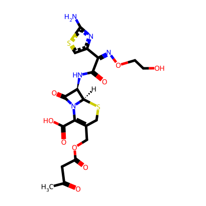 CC(=O)CC(=O)OCC1=C(C(=O)O)N2C(=O)[C@@H](NC(=O)/C(=N\OCCO)c3csc(N)n3)[C@H]2SC1